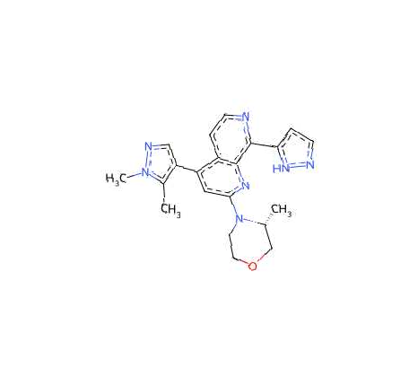 Cc1c(-c2cc(N3CCOC[C@H]3C)nc3c(-c4ccn[nH]4)nccc23)cnn1C